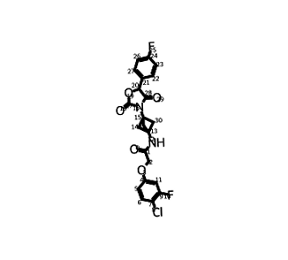 O=C(COc1ccc(Cl)c(F)c1)NC12CC(N3C(=O)OC(c4ccc(F)cc4)C3=O)(C1)C2